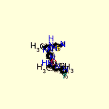 Cc1cc(Nc2cc(C#N)sn2)nc(-c2ccc(C(=O)NC(C)c3ccc(-c4cc(F)cnc4C)nc3)nc2)n1